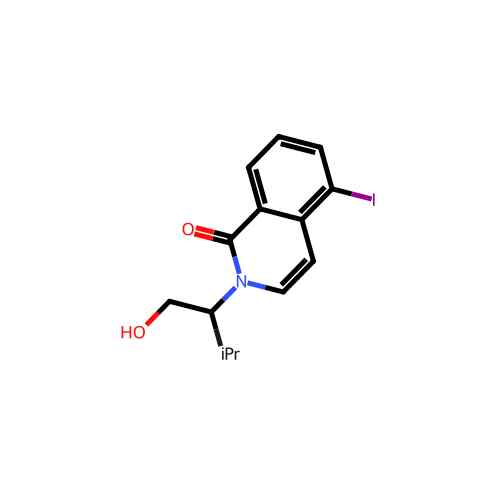 CC(C)C(CO)n1ccc2c(I)cccc2c1=O